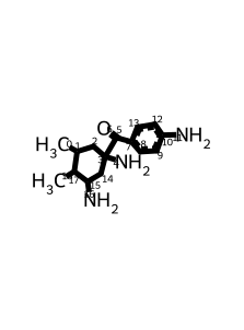 CC1CC(N)(C(=O)c2ccc(N)cc2)CC(N)C1C